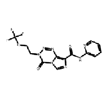 O=C(Nc1ccccn1)c1ncn2c(=O)n(CCOC(F)(F)F)nnc12